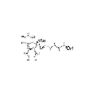 CC(C)(C)[Si](OCC/C=C/CO)(c1ccccc1)c1ccccc1